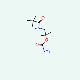 CC(C)(CNC(=O)C(C)(C)C)OC(N)=O